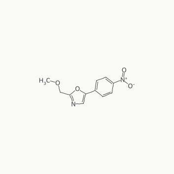 COCc1ncc(-c2ccc([N+](=O)[O-])cc2)o1